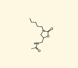 CCCCCN1CC(CNC(C)=O)OC1=O